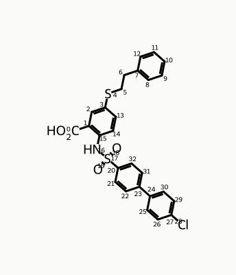 O=C(O)c1cc(SCCc2ccccc2)ccc1NS(=O)(=O)c1ccc(-c2ccc(Cl)cc2)cc1